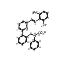 CC(C)c1cccc(C(C)C)c1N=Cc1cccc(-c2ccccc2CN(C(=O)O)c2ccccc2)n1